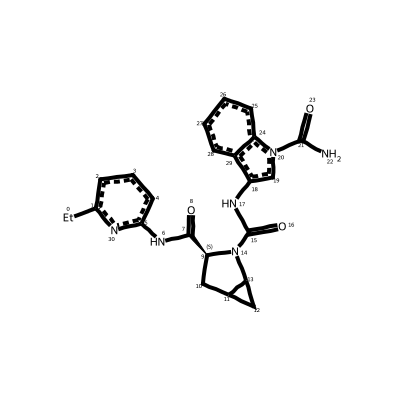 CCc1cccc(NC(=O)[C@@H]2CC3CC3N2C(=O)Nc2cn(C(N)=O)c3ccccc23)n1